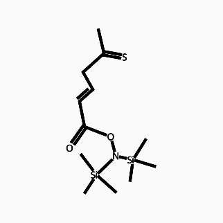 CC(=S)CC=CC(=O)ON([Si](C)(C)C)[Si](C)(C)C